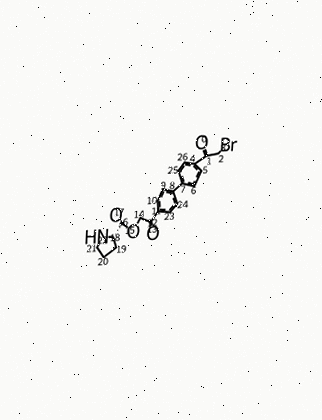 O=C(CBr)c1ccc(-c2ccc(C(=O)COC(=O)[C@@H]3CCCN3)cc2)cc1